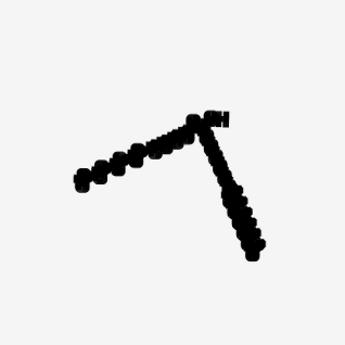 CC(=O)CCCO.CC(C)=O.CC(C)=O.CC(C)=O.CC(C)=O.CC(C)=O.CC(C)=O.CC(C)=O.CC(C)=O.CC(C)=O.CC(C)=O.CCOC(C)=O.CCOC(C)=O.CCOC(C)=O.CCOC(C)=O.CCOC(C)=O.CCOC(C)=O.CCOC(C)=O.CCOC(C)=O.CCOC(C)=O.CCOC(C)=O